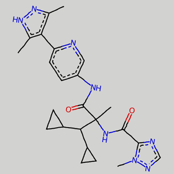 Cc1n[nH]c(C)c1-c1ccc(NC(=O)C(C)(NC(=O)c2ncnn2C)C(C2CC2)C2CC2)cn1